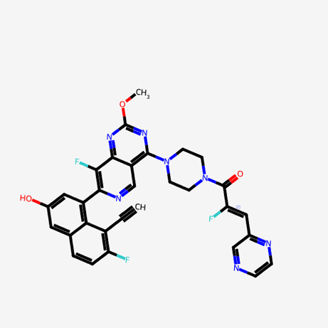 C#Cc1c(F)ccc2cc(O)cc(-c3ncc4c(N5CCN(C(=O)/C(F)=C/c6cnccn6)CC5)nc(OC)nc4c3F)c12